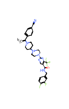 C=C(c1ccc(C#N)cc1)N1CCC(N2CCN(c3ncc(C(=O)NCc4ccc(F)c(F)c4)c(C(F)(F)F)n3)CC2)CC1